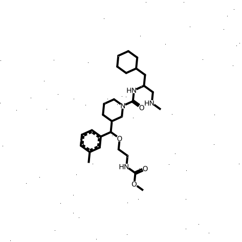 CNCC(CC1CCCCC1)NC(=O)N1CCCC(C(OCCNC(=O)OC)c2cccc(C)c2)C1